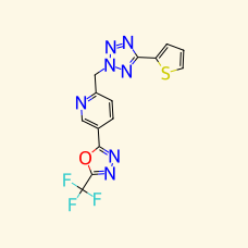 FC(F)(F)c1nnc(-c2ccc(Cn3nnc(-c4cccs4)n3)nc2)o1